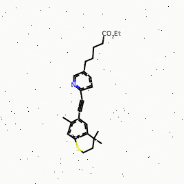 CCOC(=O)CCCCc1ccc(C#Cc2cc3c(cc2C)SCCC3(C)C)nc1